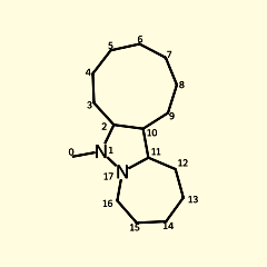 CN1C2CCCCCCCC2C2CCCCCN21